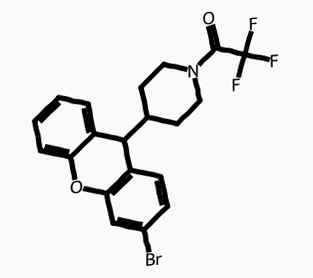 O=C(N1CCC(C2c3ccccc3Oc3cc(Br)ccc32)CC1)C(F)(F)F